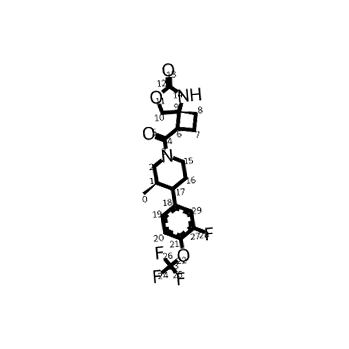 C[C@H]1CN(C(=O)C2CC[C@]23COC(=O)N3)CCC1c1ccc(OC(F)(F)F)c(F)c1